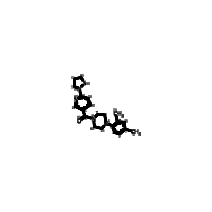 Cc1ccc(N2CCN(C(=O)c3ccc(N4CCCS4)nc3)CC2)c(C)c1